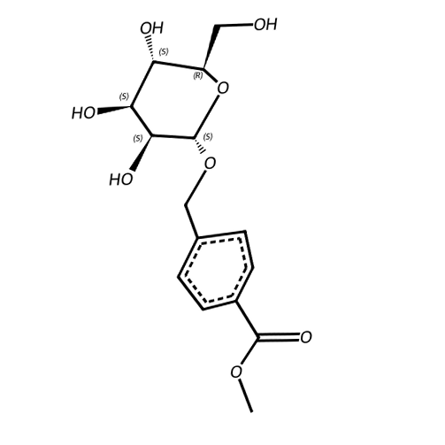 COC(=O)c1ccc(CO[C@H]2O[C@H](CO)[C@@H](O)[C@H](O)[C@@H]2O)cc1